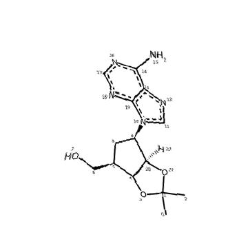 CC1(C)OC2[C@@H](CO)C[C@@H](n3cnc4c(N)ncnc43)[C@H]2O1